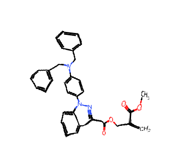 C=C(COC(=O)c1nn(-c2ccc(N(Cc3ccccc3)Cc3ccccc3)cc2)c2ccccc12)C(=O)OC